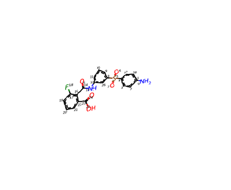 Nc1ccc(S(=O)(=O)c2cccc(NC(=O)c3c(F)cccc3C(=O)O)c2)cc1